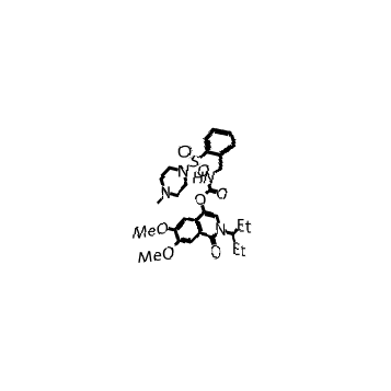 CCC(CC)n1cc(OC(=O)NCc2ccccc2S(=O)(=O)N2CCN(C)CC2)c2cc(OC)c(OC)cc2c1=O